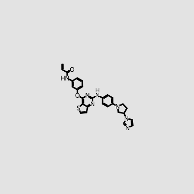 C=CC(=O)Nc1cccc(Oc2nc(Nc3ccc(N4CCC(n5ccnc5)C4)cc3)nc3ccsc23)c1